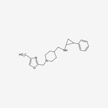 O=C(O)c1coc(CN2CCC(CNC3CC3c3ccccc3)CC2)n1